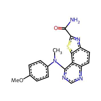 COc1ccc(N(C)c2ncnc3ccc4nc(C(N)=O)sc4c23)cc1